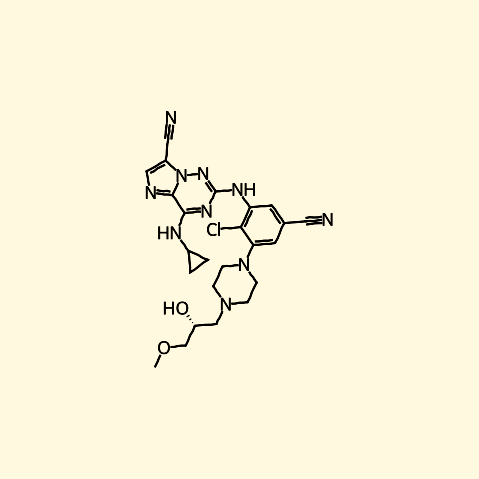 COC[C@H](O)CN1CCN(c2cc(C#N)cc(Nc3nc(NC4CC4)c4ncc(C#N)n4n3)c2Cl)CC1